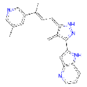 C=c1c(-c2cc3ncccc3[nH]2)n[nH]/c1=C/C=C(\C)c1cncc(C)c1